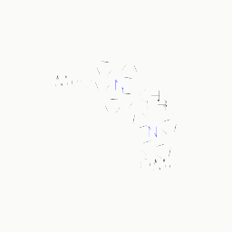 COc1ccc(N(c2ccccc2)c2ccc3c(c2)C(C)(C)c2cc(N(c4ccccc4)c4ccc(OC)c5ccccc45)c4ccccc4c2-3)c2ccccc12